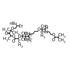 C=C(C)C(=O)OCCNC(=O)C(C)(C)OCCCCC(=O)C(C)(C)C(C)(C)OC(C)C(=O)OC(C)C(=O)C(C)(C)OCC(CC)CCCC